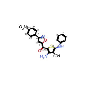 N#Cc1c(Nc2ccccc2)sc(C(=O)c2cc(-c3ccc([N+](=O)[O-])cc3)no2)c1N